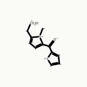 CCOC(=O)Cc1ccc(C(=O)c2cccs2)n1C